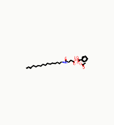 CC(=O)O.CCCCCCCCCCCCCCCCNC(=O)CCC(=O)O.O=C(O)c1ccccc1